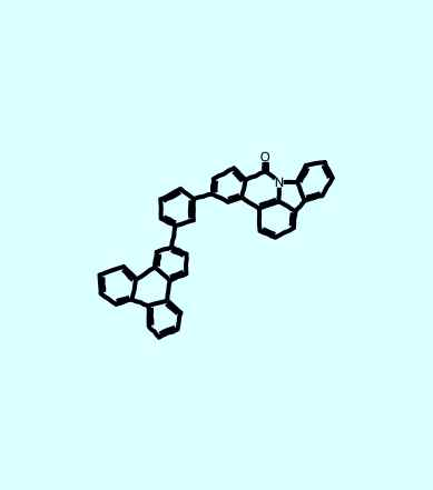 O=c1c2ccc(-c3cccc(-c4ccc5c6ccccc6c6ccccc6c5c4)c3)cc2c2cccc3c4ccccc4n1c23